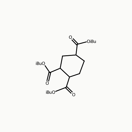 CC(C)COC(=O)C1CCC(C(=O)OCC(C)C)C(C(=O)OCC(C)C)C1